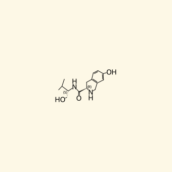 CC(C)[C@@H](CO)NC(=O)[C@H]1Cc2ccc(O)cc2CN1